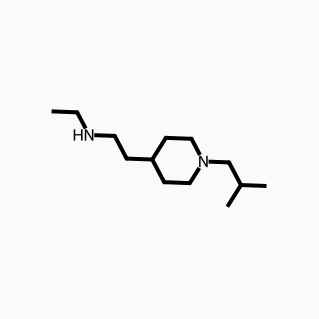 CCNCCC1CCN(CC(C)C)CC1